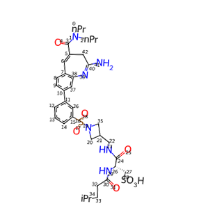 CCCN(CCC)C(=O)C1=Cc2ccc(-c3cccc(S(=O)(=O)N4CC(CNC(=O)[C@H](CS(=O)(=O)O)NC(=O)CCC(C)C)C4)c3)cc2N=C(N)C1